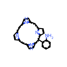 Nc1ccccc1-c1c2nc(cc3ccc(cc4nc(cc5ccc1[nH]5)C=C4)[nH]3)C=C2